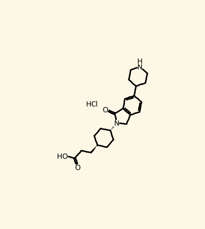 Cl.O=C(O)CC[C@H]1CC[C@H](N2Cc3ccc(C4CCNCC4)cc3C2=O)CC1